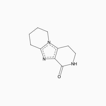 O=C1NCCc2c1nc1n2CCCC1